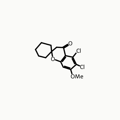 COc1cc2c(c(Cl)c1Cl)C(=O)CC1(CCCCC1)O2